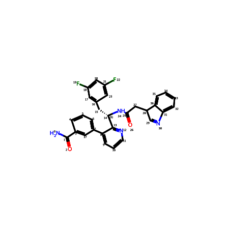 NC(=O)c1cccc(-c2cccnc2[C@H](Cc2cc(F)cc(F)c2)NC(=O)CC2C=Nc3ccccc32)c1